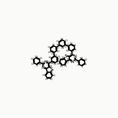 c1ccc(-c2nc(-c3cccc(-c4cccc(-c5cccc(-c6cccc(-c7nc(-c8ccccc8)nc8c7sc7ccccc78)c6)c5)c4)c3)c3sc4ccccc4c3n2)cc1